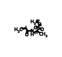 C=CC(=O)NCC(C)S(=O)(=O)OC